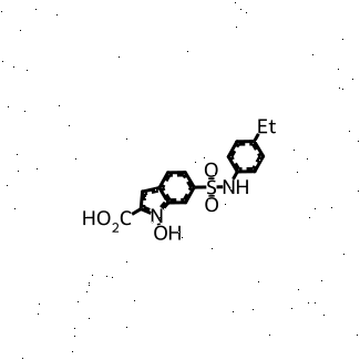 CCc1ccc(NS(=O)(=O)c2ccc3cc(C(=O)O)n(O)c3c2)cc1